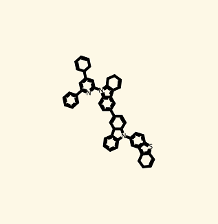 C1=CCC(c2cc(-c3ccccc3)nc(-n3c4c(c5cc(C6=CC7c8ccccc8N(c8ccc9sc%10c(c9c8)CCC=C%10)C7C=C6)ccc53)C=CCC4)c2)C=C1